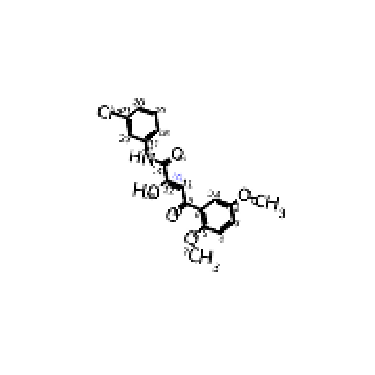 COc1ccc(OC)c(C(=O)/C=C(\O)C(=O)Nc2cccc(Cl)c2)c1